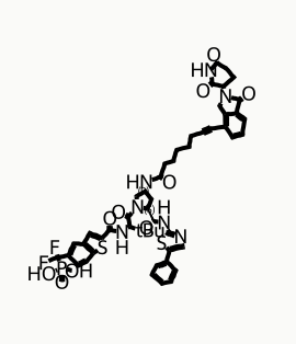 CC(C)(C)C(NC(=O)c1cc2cc(C(F)(F)P(=O)(O)O)ccc2s1)C(=O)N1C[C@H](NC(=O)CCCCCC#Cc2cccc3c2CN(C2CCC(=O)NC2=O)C3=O)C[C@H]1C(=O)Nc1ncc(-c2ccccc2)s1